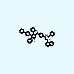 c1ccc(-c2ccc(-c3c4c(cc5c(-c6ccc(-c7cc(-c8cccc9ccccc89)nc(-c8ccccc8)n7)cc6)nc6ccccc6c35)oc3ccccc34)cc2)cc1